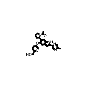 CC(=O)N1CCCC1c1cc2[nH]c(-c3cnc(C)cn3)cc2cc1Oc1ccc(CO)nc1